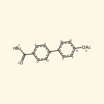 [CH2]CCCC(=O)c1ccc(-c2ccc(OC(C)=O)cc2)cc1